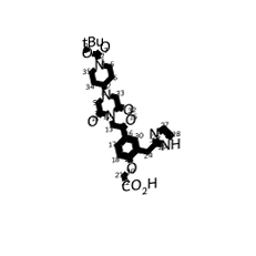 CC(C)(C)OC(=O)N1CCC(N2CC(=O)N(CC(=O)c3ccc(OCC(=O)O)c(Cc4ncc[nH]4)c3)C(=O)C2)CC1